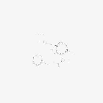 CC(N)(CC(=O)O)c1ccc(F)c(NC(=O)OCc2ccccc2)c1F